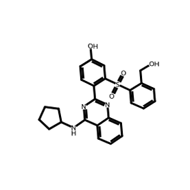 O=S(=O)(c1ccccc1CO)c1cc(O)ccc1-c1nc(NC2CCCC2)c2ccccc2n1